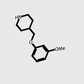 COc1cccc(OCC2CCNCC2)c1